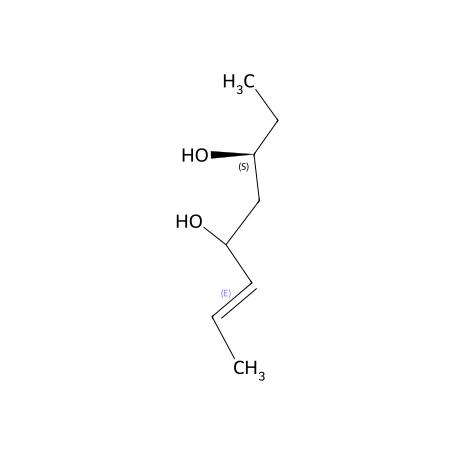 C/C=C/C(O)C[C@@H](O)CC